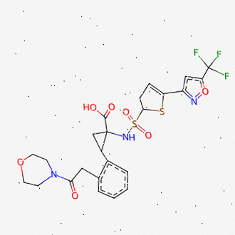 O=C(Cc1ccccc1C1CC1(NS(=O)(=O)C1CC=C(c2cc(C(F)(F)F)on2)S1)C(=O)O)N1CCOCC1